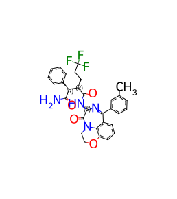 Cc1cccc(C2=N[C@H](NC(=O)[C@H](CCC(F)(F)F)[C@@H](C(N)=O)c3ccccc3)C(=O)N3CCOc4cccc2c43)c1